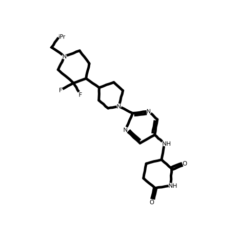 CC(C)CN1CCC(C2CCN(c3ncc(NC4CCC(=O)NC4=O)cn3)CC2)C(F)(F)C1